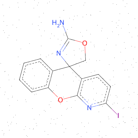 NC1=NC2(CO1)c1ccccc1Oc1nc(I)ccc12